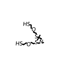 CN(CSCCOCCS)CC(C)(C)SCCOCCS